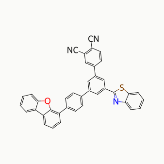 N#Cc1ccc(-c2cc(-c3ccc(-c4cccc5c4oc4ccccc45)cc3)cc(-c3nc4ccccc4s3)c2)cc1C#N